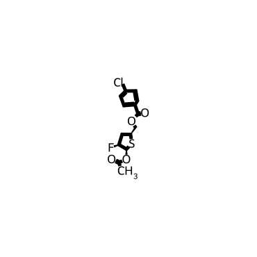 CC(=O)O[C@@H]1S[C@H](COC(=O)c2ccc(Cl)cc2)C[C@@H]1F